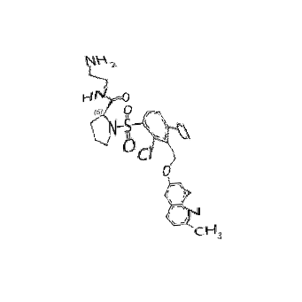 Cc1ccc2cc(OCc3c(Cl)ccc(S(=O)(=O)N4CCC[C@H]4C(=O)NCCN)c3Cl)ccc2n1